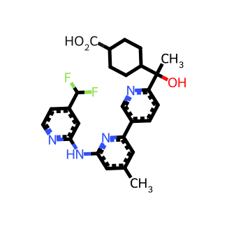 Cc1cc(Nc2cc(C(F)F)ccn2)nc(-c2ccc(C(C)(O)C3CCC(C(=O)O)CC3)nc2)c1